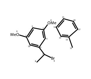 COc1cc(OC)cc(C(C)Br)c1.Cc1ccccc1